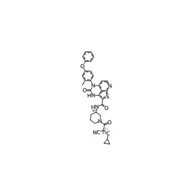 Cc1cc(Oc2ccccc2)ccc1N1C(=O)Nc2c(C(=O)N[C@@H]3CCCN(C(=O)/C(C#N)=[13CH]/C4CC4)C3)sc3nccc1c23